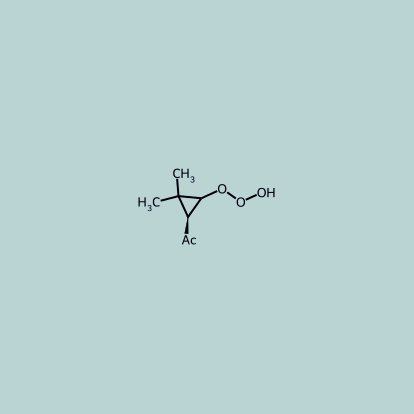 CC(=O)[C@@H]1C(OOO)C1(C)C